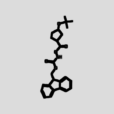 CC(C)(C)OC1CCC(C(=O)ONC(=O)OCC2c3ccccc3-c3ccccc32)C1